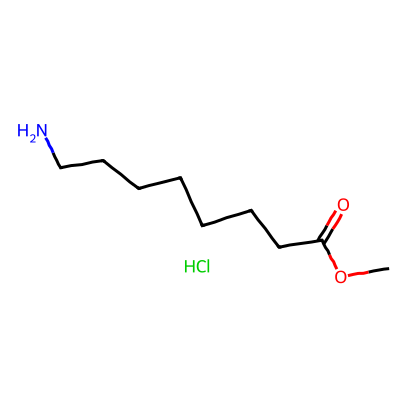 COC(=O)CCCCCCCN.Cl